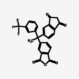 CC(c1cccc(C(F)(F)F)c1)(c1ccc2c(c1)C(=O)CC2=O)c1ccc2c(c1)C(=O)OC2=O